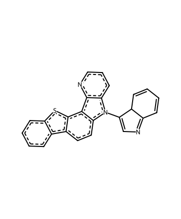 C1=CC2=NC=C(n3c4cccnc4c4c5sc6ccccc6c5ccc43)C2C=C1